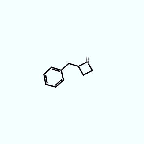 [c]1ccccc1CC1CCN1